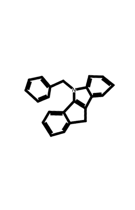 c1ccc(Cn2c3c(c4ccccc42)Cc2ccccc2-3)cc1